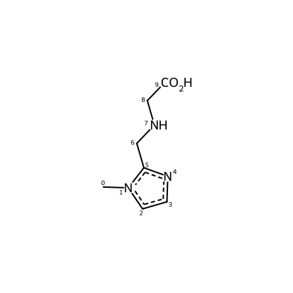 Cn1ccnc1CNCC(=O)O